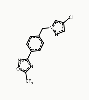 FC(F)(F)c1nc(-c2ccc(Cn3cc(Cl)cn3)cc2)no1